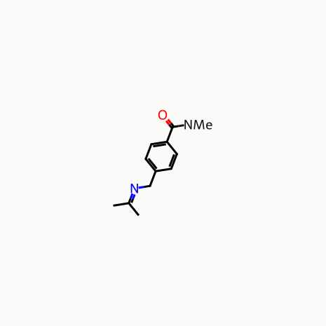 CNC(=O)c1ccc(CN=C(C)C)cc1